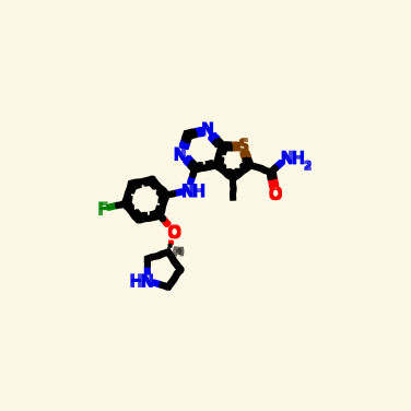 Cc1c(C(N)=O)sc2ncnc(Nc3ccc(F)cc3O[C@@H]3CCNC3)c12